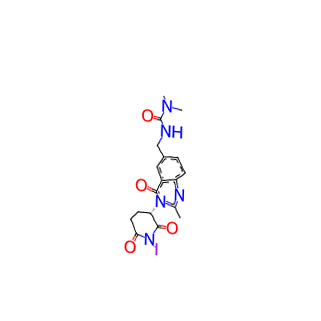 Cc1nc2ccc(CNC(=O)N(C)C)cc2c(=O)n1[C@H]1CCC(=O)N(I)C1=O